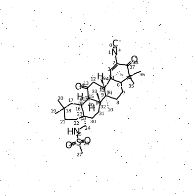 [C-]#[N+]C1=C[C@@]2(C)C(CC[C@]3(C)[C@@H]2CC(=O)[C@@H]2[C@@H]4CC(C)(C)CC[C@]4(CNS(C)(=O)=O)CC[C@]23C)C(C)(C)C1=O